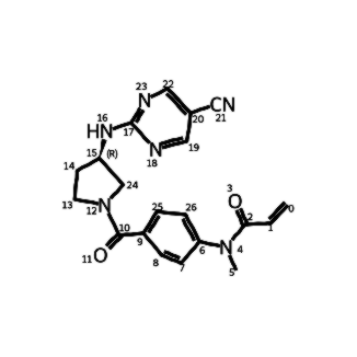 C=CC(=O)N(C)c1ccc(C(=O)N2CC[C@@H](Nc3ncc(C#N)cn3)C2)cc1